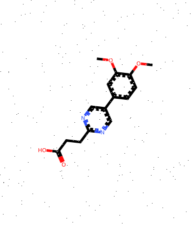 COc1ccc(-c2cnc(CCC(=O)O)nc2)cc1OC